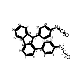 O=C=Nc1ccc(-c2cccc3c2C(c2ccc(N=C=O)cc2)c2ccccc2-3)cc1